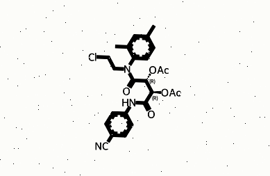 CC(=O)O[C@@H](C(=O)Nc1ccc(C#N)cc1)[C@@H](OC(C)=O)C(=O)N(CCCl)c1ccc(C)cc1C